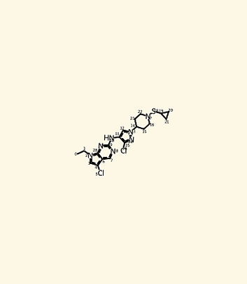 CCn1cc(Cl)c2cnc(Nc3cn(C4CCN(SC5CC5)CC4)nc3Cl)nc21